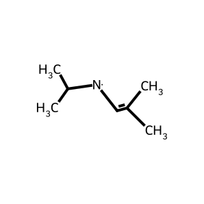 CC(C)=C[N]C(C)C